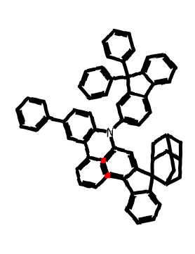 c1ccc(-c2ccc(N(c3ccc4c(c3)C(c3ccccc3)(c3ccccc3)c3ccccc3-4)c3ccc4c(c3)C3(c5ccccc5-4)C4CC5CC(C4)CC3C5)c(-c3ccccc3)c2)cc1